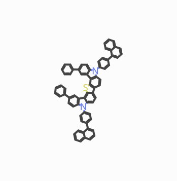 c1ccc(-c2ccc3c(c2)c2c4sc5c(ccc6c5c5cc(-c7ccccc7)ccc5n6-c5ccc(-c6cccc7ccccc67)cc5)c4ccc2n3-c2ccc(-c3cccc4ccccc34)cc2)cc1